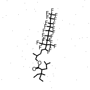 CCC(C)(CC)C(CC(C)C)C(=O)OCC(C)CCC(F)C(C(F)(F)F)(C(F)(F)F)C(F)(F)C(F)(F)C(F)(F)C(F)(F)C(F)(F)C(F)(F)C(F)(F)F